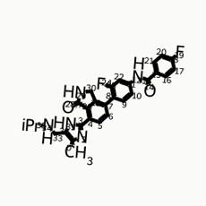 Cc1nc(-c2ccc(-c3ccc(NC(=O)c4ccc(F)cc4)cc3F)c3c2C(=O)NC3)[nH]c1CNC(C)C